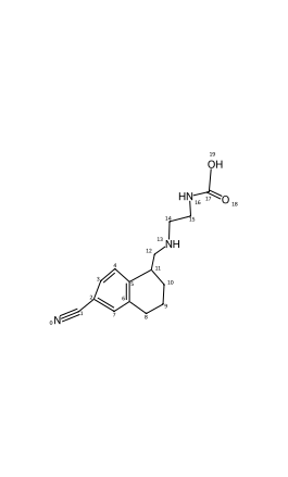 N#Cc1ccc2c(c1)CCCC2CNCCNC(=O)O